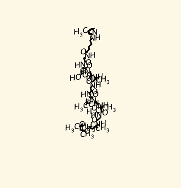 CC(=O)CC(C)(C)OCCC(C)(C)NC(=O)CNC(=O)C(C)(C)NC(=O)CNC(=O)[C@H](CC(C)C)NC(=O)CNC(=O)[C@H](C)NC(=O)CNC(=O)[C@H](CC(=O)O)NC(=O)CNC(=O)CCCCNc1cc(C)ccn1